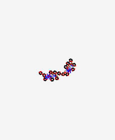 c1ccc(-c2ccc3c(c2)c2ccccc2n3-c2nc(-c3ccccc3)nc(-c3cccc4c3sc3c(-c5nc6ccccc6s5)c(-c5ccc(-c6ccc7c(c6)sc6c(-c8nc(-c9ccccc9)nc(-c9cccc%10c9sc9c(-c%11nc%12ccccc%12s%11)c(-c%11ccccc%11)ccc9%10)n8)cccc67)cc5)ccc34)n2)cc1